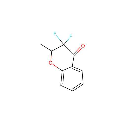 CC1Oc2ccccc2C(=O)C1(F)F